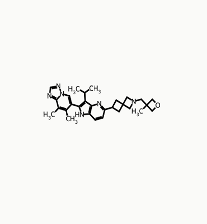 Cc1c(-c2[nH]c3ccc(C4CC5(C4)CN(CC4(C)COC4)C5)nc3c2C(C)C)cn2ncnc2c1C